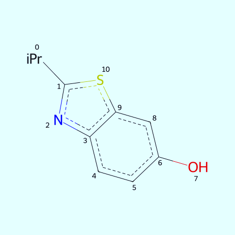 CC(C)c1nc2ccc(O)cc2s1